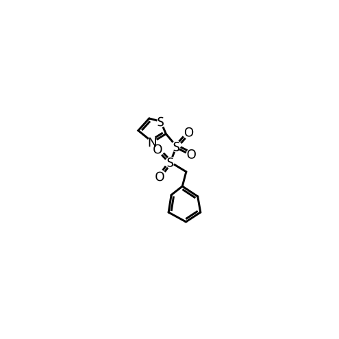 O=S(=O)(Cc1ccccc1)S(=O)(=O)c1nccs1